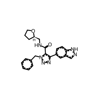 O=C(NC[C@H]1CCCO1)c1c(-c2ccc3[nH]ncc3c2)nnn1Cc1ccccc1